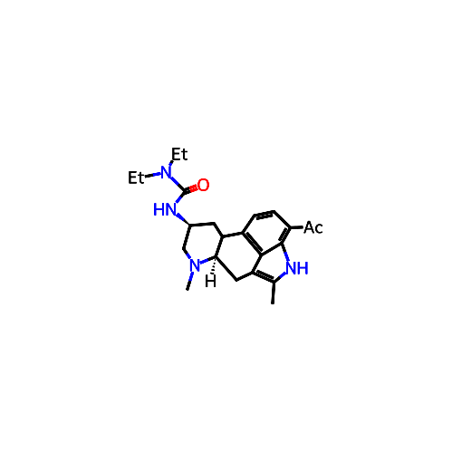 CCN(CC)C(=O)N[C@H]1CC2c3ccc(C(C)=O)c4[nH]c(C)c(c34)C[C@H]2N(C)C1